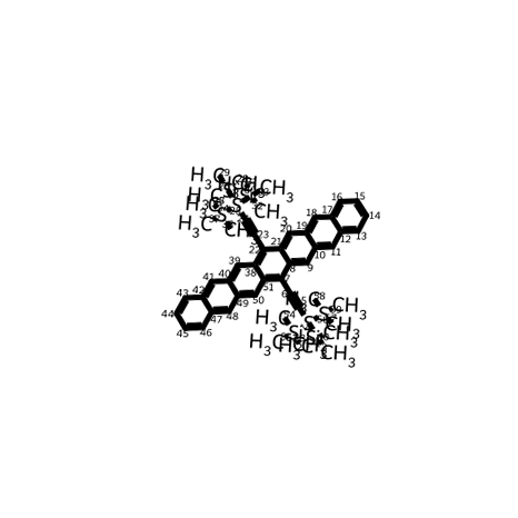 C[Si](C)(C)S(C#Cc1c2cc3cc4ccccc4cc3cc2c(C#CS([Si](C)(C)C)([Si](C)(C)C)S(C)(C)C)c2cc3cc4ccccc4cc3cc12)([Si](C)(C)C)S(C)(C)C